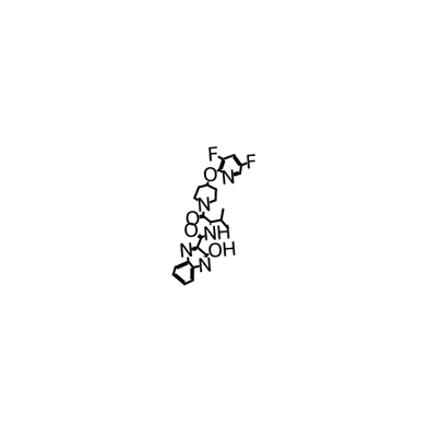 CC(C)[C@H](NC(=O)c1nc2ccccc2nc1O)C(=O)N1CCC(Oc2ncc(F)cc2F)CC1